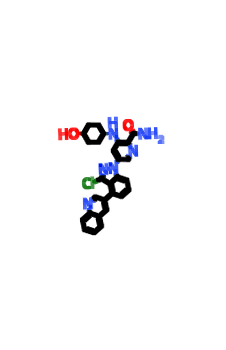 NC(=O)c1ncc(-n2nc(Cl)c3c(-c4cnc5ccccc5c4)cccc32)cc1N[C@H]1CC[C@H](O)CC1